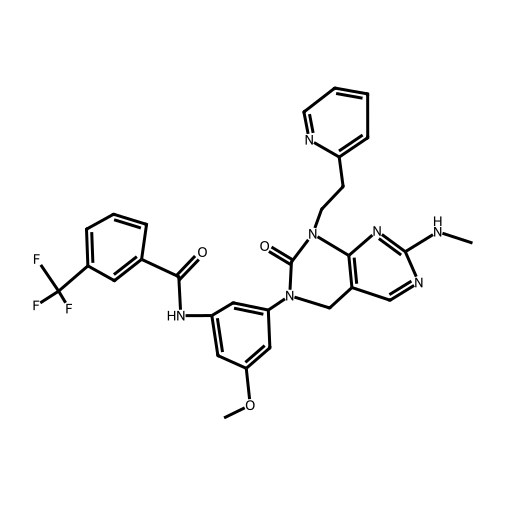 CNc1ncc2c(n1)N(CCc1ccccn1)C(=O)N(c1cc(NC(=O)c3cccc(C(F)(F)F)c3)cc(OC)c1)C2